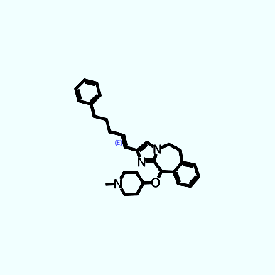 CN1CCC(OC2c3ccccc3CCn3cc(/C=C/CCCc4ccccc4)nc32)CC1